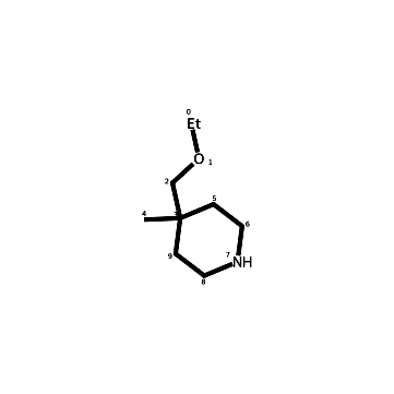 CCOCC1(C)CCNCC1